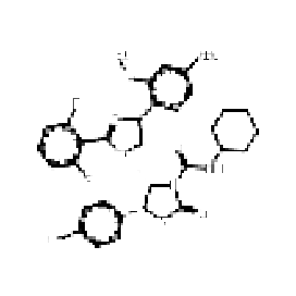 CCOc1cc(C(C)(C)C)ccc1C1COC(c2c(F)cccc2F)=N1.C[C@H]1[C@H](c2ccc(Cl)cc2)SC(=O)N1C(=O)NC1CCCCC1